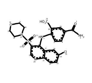 NC(=O)c1ccc(Nc2c(S(=O)(=O)N3CCOCC3)cnc3ccc(Cl)cc23)c(C(=O)O)c1